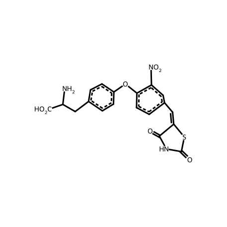 NC(Cc1ccc(Oc2ccc(C=C3SC(=O)NC3=O)cc2[N+](=O)[O-])cc1)C(=O)O